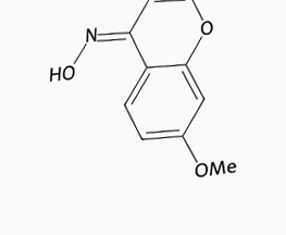 COc1ccc2/c(=N\O)c[c]oc2c1